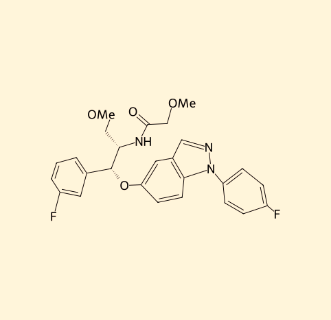 COCC(=O)N[C@@H](COC)[C@H](Oc1ccc2c(cnn2-c2ccc(F)cc2)c1)c1cccc(F)c1